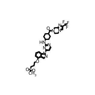 CS(=O)(=O)CCCOc1cccc2c1cnn2-c1ccnc(NC2CCC(C(=O)N3CCn4cc(C(F)(F)F)nc4C3)CC2)n1